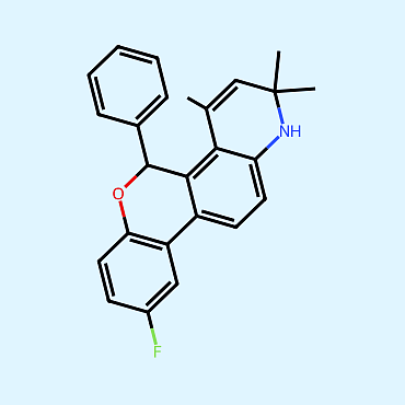 CC1=CC(C)(C)Nc2ccc3c(c21)C(c1ccccc1)Oc1ccc(F)cc1-3